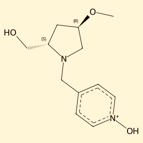 CO[C@@H]1C[C@@H](CO)N(Cc2cc[n+](O)cc2)C1